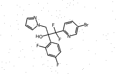 OC(Cn1cccn1)(c1ccc(F)cc1F)C(F)(F)c1ccc(Br)cn1